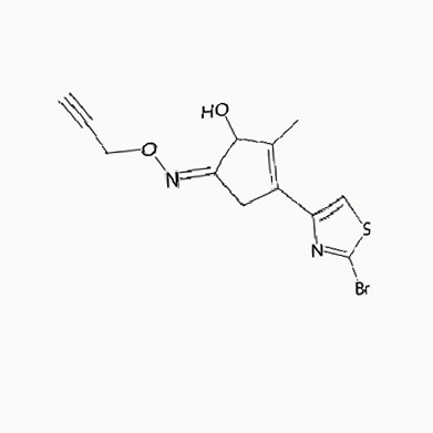 C#CCON=C1CC(c2csc(Br)n2)=C(C)C1O